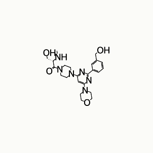 CN[C@@H](CO)C(=O)N1CCN(c2cc(N3CCOCC3)nc(-c3cccc(CO)c3)n2)CC1